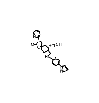 Cl.Cl.O=C1OC2(CCC(CNc3ccc(-n4cccn4)cn3)CC2)CN1c1ccccn1